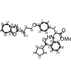 COC(=O)C(Cc1ccc(OCCN(C)c2nc3ccccc3o2)cc1)Nc1ccccc1C(=O)C1CCCC1